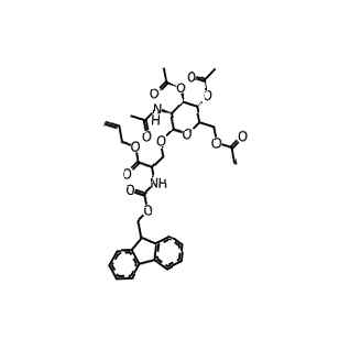 C=CCOC(=O)C(COC1OC(COC(C)=O)[C@@H](OC(C)=O)[C@H](OC(C)=O)[C@@H]1NC(C)=O)NC(=O)OCC1c2ccccc2-c2ccccc21